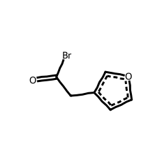 O=C(Br)Cc1ccoc1